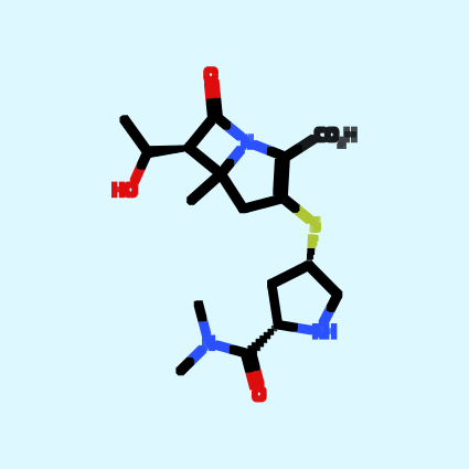 CC(O)[C@H]1C(=O)N2C(C(=O)O)=C(S[C@@H]3CN[C@H](C(=O)N(C)C)C3)CC12C